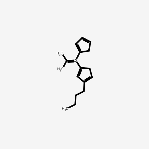 CCCCC1=CC[C]([Zr]([C]2=CC=CC2)=[C](C)C)=C1